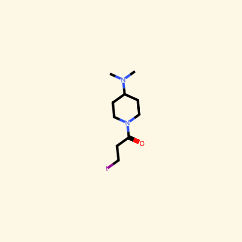 CN(C)C1CCN(C(=O)CCI)CC1